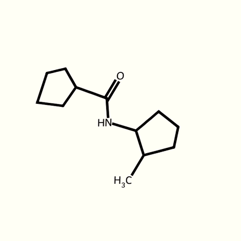 CC1CCCC1NC(=O)C1CCCC1